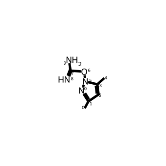 Cc1cc(C)n(OC(=N)N)n1